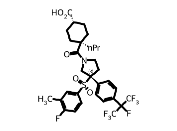 CCC[C@]1(C(=O)N2CC[C@](c3ccc(C(F)(C(F)(F)F)C(F)(F)F)cc3)(S(=O)(=O)c3ccc(F)c(C)c3)C2)CC[C@H](C(=O)O)CC1